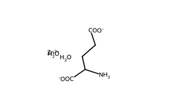 NC(CCC(=O)[O-])C(=O)[O-].O.O.[Zn+2]